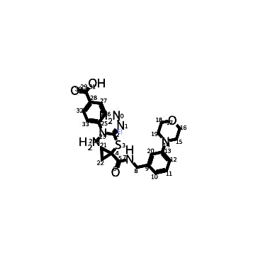 N/N=C(/SC1(C(=O)NCc2cccc(N3CCOCC3)c2)CC1)N(N)c1ccc(C(=O)O)cc1